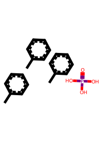 Cc1ccccc1.Cc1ccccc1.Cc1ccccc1.O=P(O)(O)O